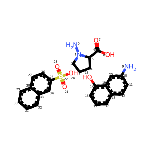 NN1CCCC1C(=O)O.Nc1ccc2cccc(O)c2c1.O=S(=O)(O)c1ccc2ccccc2c1